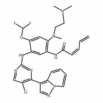 C=C/C=C\C(=O)Nc1cc(Nc2ncc(Cl)c(-c3cnn4ccccc34)n2)c(OC(F)F)cc1N(C)CCN(C)C